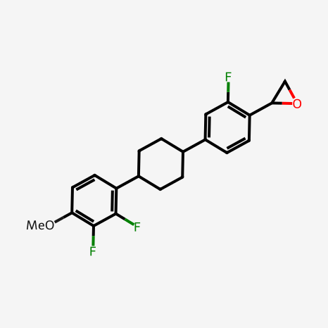 COc1ccc(C2CCC(c3ccc(C4CO4)c(F)c3)CC2)c(F)c1F